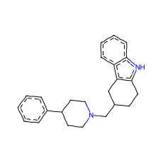 c1ccc(C2CCN(CC3CCc4[nH]c5ccccc5c4C3)CC2)cc1